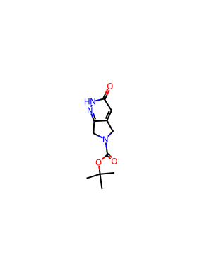 CC(C)(C)OC(=O)N1Cc2cc(=O)[nH]nc2C1